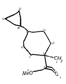 COC(=O)C1(C)CCC(C2CC2)CC1